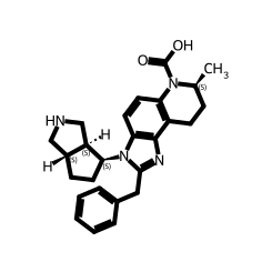 C[C@H]1CCc2c(ccc3c2nc(Cc2ccccc2)n3[C@H]2CC[C@@H]3CNC[C@H]32)N1C(=O)O